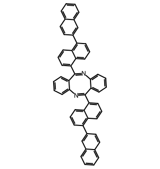 c1ccc2c(c1)/N=C(/c1cccc3c(-c4ccc5ccccc5c4)cccc13)c1ccccc1/N=C\2c1cccc2c(-c3ccc4ccccc4c3)cccc12